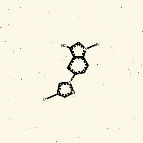 CCc1cnn(-c2ccc3c(c2)c(C#N)cn3C(C)C)c1